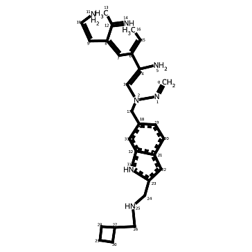 C=NN(/C=C(N)/C(/C=C(/C=C\N)C(C)=N)=C/C)Cc1ccc2cc(CNCC3CCC3)[nH]c2c1